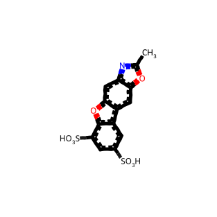 Cc1nc2cc3oc4c(S(=O)(=O)O)cc(S(=O)(=O)O)cc4c3cc2o1